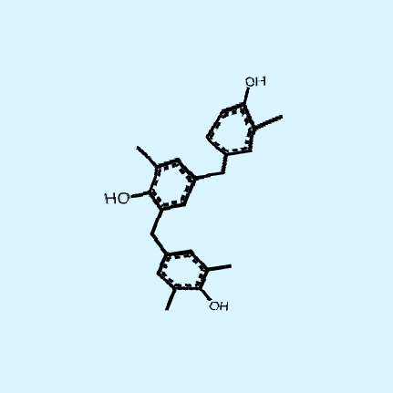 Cc1cc(Cc2cc(C)c(O)c(Cc3cc(C)c(O)c(C)c3)c2)ccc1O